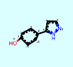 Oc1ccc(-c2ccn[nH]2)cc1